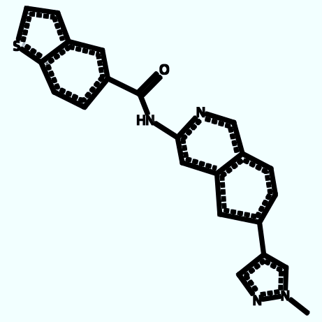 Cn1cc(-c2ccc3cnc(NC(=O)c4ccc5sccc5c4)cc3c2)cn1